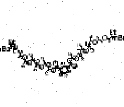 CCCCC(CC)COCCOC(C)OC(C)OC(C)OC(C)OC(C)OC(=O)c1cccc(C(=O)OC(C)OC(C)OC(C)OC(C)OC(C)OCCOCC(CC)CCCC)c1